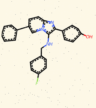 Oc1ccc(-c2nc3ccc(-c4ccccc4)cn3c2NCc2ccc(F)cc2)cc1